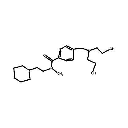 CN(CCN1CC[CH]CC1)C(=O)c1ccc(CN(CCO)CCO)cn1